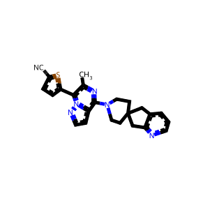 Cc1nc(N2CCC3(CC2)Cc2cccnc2C3)c2ccnn2c1-c1ccc(C#N)s1